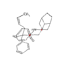 C/C=C\CC(O)(C(=O)NCC1C2CCC1CN(Cc1ccccc1)C2)c1ccccc1